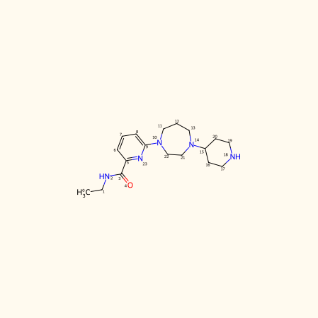 CCNC(=O)c1cccc(N2CCCN(C3CCNCC3)CC2)n1